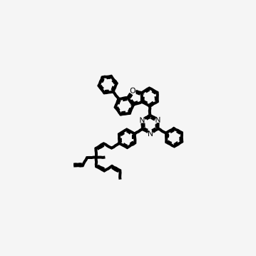 C=CCC(C)(/C=C\C=C/C)/C=C\Cc1ccc(-c2nc(-c3ccccc3)nc(-c3cccc4oc5c(-c6ccccc6)cccc5c34)n2)cc1